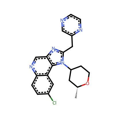 C[C@@H]1CC(n2c(Cc3cnccn3)nc3cnc4ccc(Cl)cc4c32)CCO1